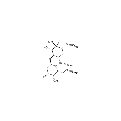 CC(=O)O[C@H]1[C@@H](F)C[C@@H](O[C@@H]2C(N=[N+]=[N-])CC(N=[N+]=[N-])[C@](F)(OC(C)=O)[C@H]2O)O[C@@H]1CN=[N+]=[N-]